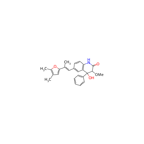 COC1C(=O)Nc2ccc(/C=C(\C)c3cc(C)c(C)o3)cc2C1(O)c1ccccc1